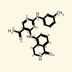 Cc1cccc(Nc2ncc(C(N)=O)c(Nc3cccc4c3CCNC4=O)n2)c1